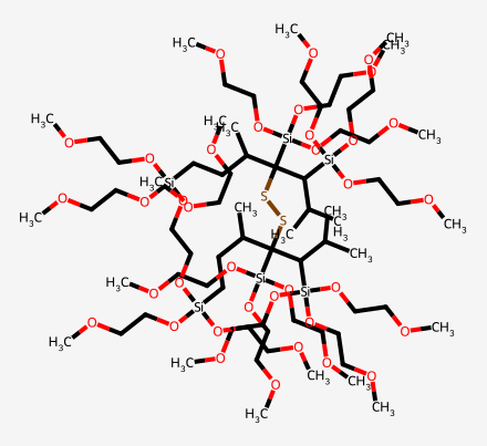 COCCO[Si](CCC(C)C(SSC(C(C)CC[Si](OCCOC)(OCCOC)OCCOC)(C(C(C)C)[Si](OCCOC)(OCCOC)OCCOC)[Si](OCCOC)(OCCOC)OCCOC)(C(C(C)C)[Si](OCCOC)(OCCOC)OCCOC)[Si](OCCOC)(OCCOC)OCCOC)(OCCOC)OCCOC